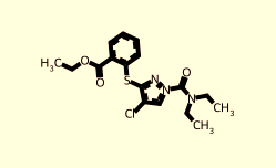 CCOC(=O)c1ccccc1Sc1nn(C(=O)N(CC)CC)cc1Cl